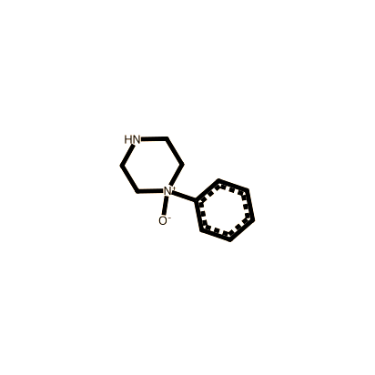 [O-][N+]1(c2ccccc2)CCNCC1